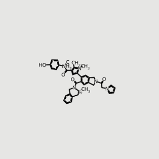 Cc1c(C(=O)N(C)c2ccc(O)cc2)cc(-c2cc3c(cc2C(=O)N2Cc4ccccc4C[C@H]2C)CN(C(=O)Cn2cccc2)C3)n1C